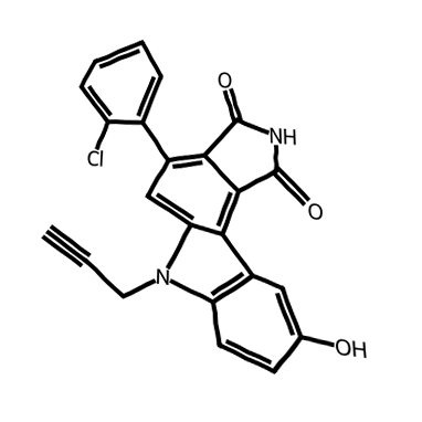 C#CCn1c2ccc(O)cc2c2c3c(c(-c4ccccc4Cl)cc21)C(=O)NC3=O